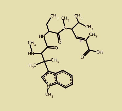 CCC(NC(=O)C(NC)C(C)(C)c1cn(C)c2ccccc12)C(=O)N(C)C(/C=C(\C)C(=O)O)C(C)C